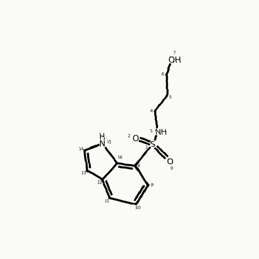 O=S(=O)(NCCCO)c1cccc2cc[nH]c12